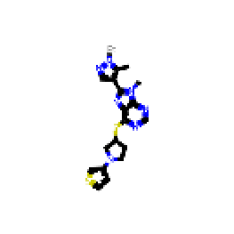 CCn1ncc(-c2nc3c(SC4CCN(c5ccsc5)C4)ncnc3n2C)c1C